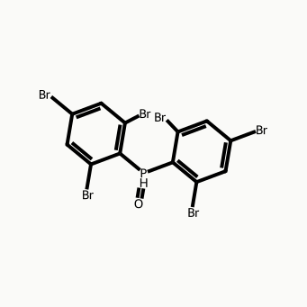 O=[PH](c1c(Br)cc(Br)cc1Br)c1c(Br)cc(Br)cc1Br